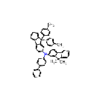 Cc1ccc(C2(c3ccc(C)cc3)c3ccccc3-c3ccc(N(c4ccc(-c5ccccc5)cc4)c4ccc5c(c4)C(C)(C)c4ccccc4-5)cc32)cc1